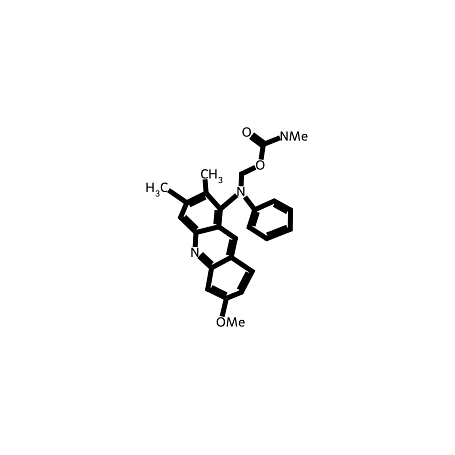 CNC(=O)OCN(c1ccccc1)c1c(C)c(C)cc2nc3cc(OC)ccc3cc12